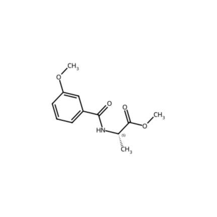 COC(=O)[C@H](C)NC(=O)c1cccc(OC)c1